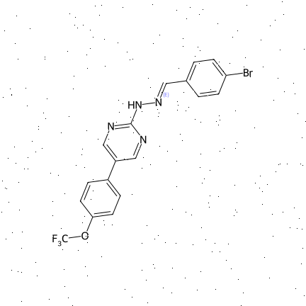 FC(F)(F)Oc1ccc(-c2cnc(N/N=C/c3ccc(Br)cc3)nc2)cc1